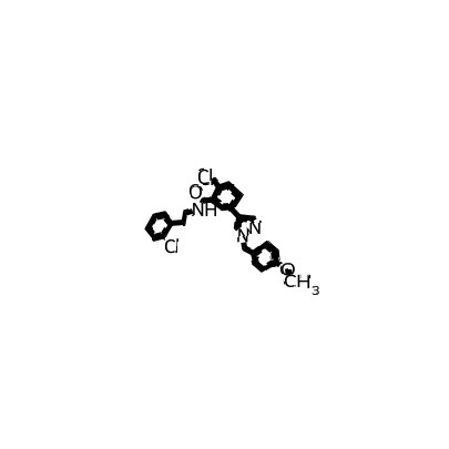 COc1ccc(Cn2cc(-c3ccc(Cl)c(C(=O)NCCc4ccccc4Cl)c3)cn2)cc1